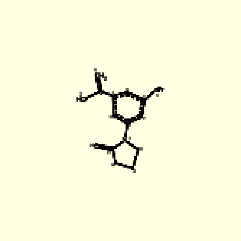 C=C(O)c1cc(CCC)cc(N2CCCC2=O)c1